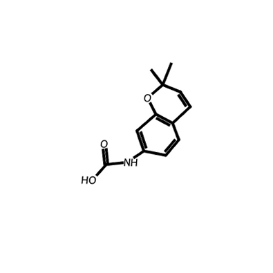 CC1(C)C=Cc2ccc(NC(=O)O)cc2O1